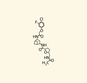 CC(=O)NCC1CCC(C(=O)NC2CC(NC(=O)COc3ccc(Cl)c(F)c3)C3CC2C3)O1